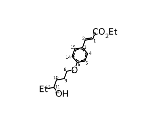 CCOC(=O)C=Cc1ccc(OCCCC(O)CC)cc1